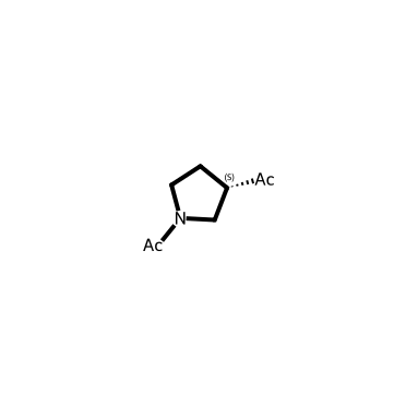 CC(=O)[C@H]1CCN(C(C)=O)C1